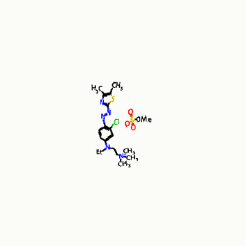 CCN(CC[N+](C)(C)C)c1ccc(/N=N/c2nc(C)c(C)s2)c(Cl)c1.COS(=O)(=O)[O-]